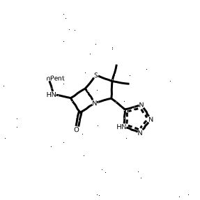 CCCCCNC1C(=O)N2C1SC(C)(C)C2c1nnn[nH]1